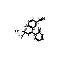 CC1(C)C=C(n2ccccc2=O)c2cc(C#N)ccc2O1